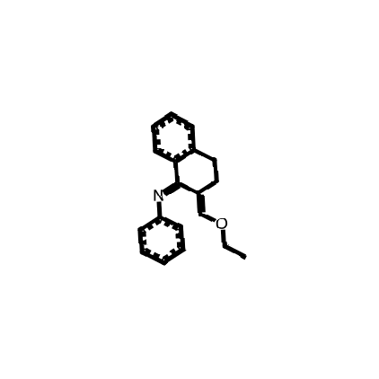 CCOC=C1CCc2ccccc2/C1=N/c1ccccc1